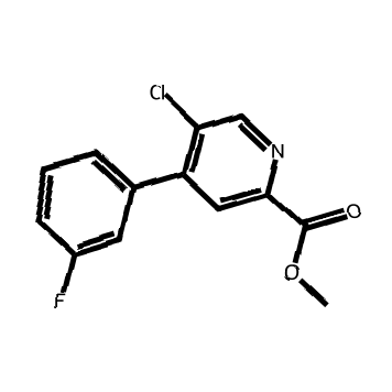 COC(=O)c1cc(-c2cccc(F)c2)c(Cl)cn1